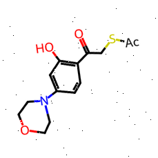 CC(=O)SCC(=O)c1ccc(N2CCOCC2)cc1O